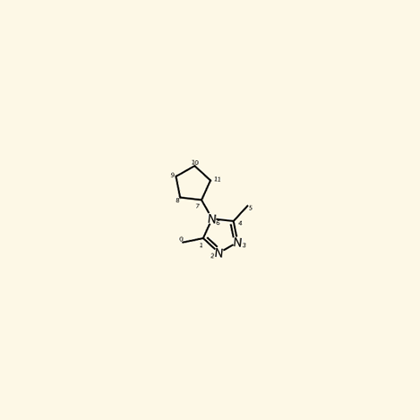 Cc1nnc(C)n1C1CCCC1